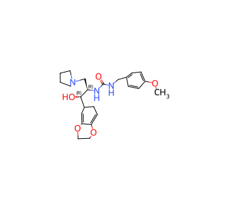 COc1ccc(CNC(=O)N[C@H](CN2CCCC2)[C@H](O)C2C=C3OCCOC3=CC2)cc1